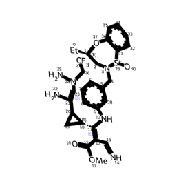 CC[C@@H]1CN(Cc2cccc(N/C(=C(\C=N)C(=O)OC)[C@@H]3CC3/C(N)=C/N(N)CC(F)(F)F)c2)[S+]([O-])c2ccccc2O1